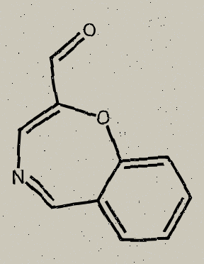 O=CC1=CN=Cc2ccccc2O1